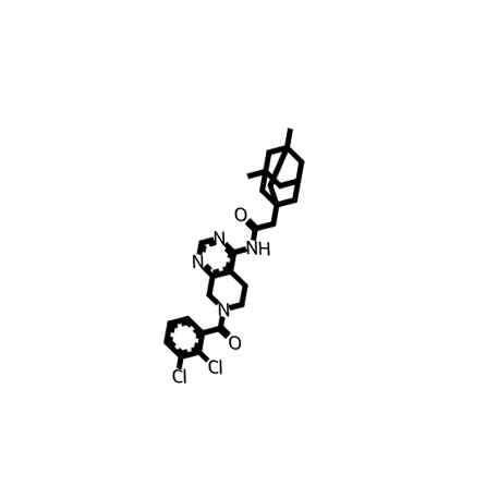 CC12CC3CC(C)(C1)CC(CC(=O)Nc1ncnc4c1CCN(C(=O)c1cccc(Cl)c1Cl)C4)(C3)C2